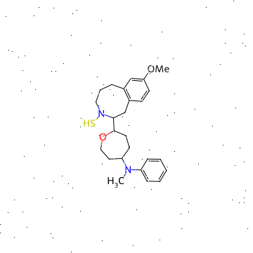 COc1ccc2c(c1)CCCN(S)C(C1CCC(N(C)c3ccccc3)CCO1)C2